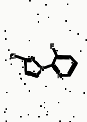 Fc1cccnc1-n1[c]cc(Cl)n1